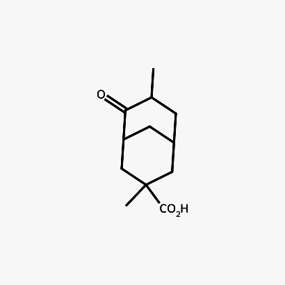 CC1CC2CC(CC(C)(C(=O)O)C2)C1=O